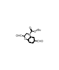 CC(C)(C)OC(=O)N1CC(C=O)Oc2ccc(C=O)cc21